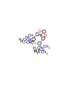 CC1=NC(C)(C)C(C)(C)N1c1cccc(-c2ccc3c(c2)B2c4cc(-c5cccc(N6C(C)=NC(C)(C)C6(C)C)c5)ccc4Oc4cccc(c42)O3)c1